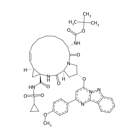 COc1ccc(-c2cc(O[C@@H]3C[C@H]4C(=O)N[C@]5(C(=O)NS(=O)(=O)C6CC6)C[C@H]5/C=C\CCCCC[C@H](NC(=O)OC(C)(C)C)C(=O)N4C3)n3nc4ccccc4c3n2)cc1